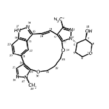 Cc1nn([C@H]2CCOC[C@@H]2O)c2c1/C=C/c1n[nH]c3ccc(cc13)-c1cnn(C)c1OCCCO2